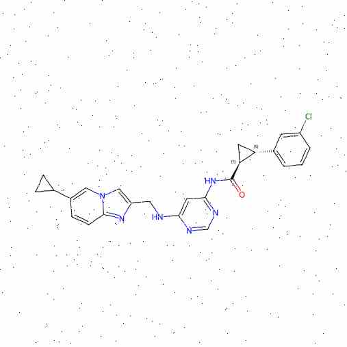 O=C(Nc1cc(NCc2cn3cc(C4CC4)ccc3n2)ncn1)[C@H]1C[C@@H]1c1cccc(Cl)c1